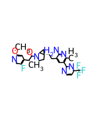 COc1cc([C@@H](C)C(=O)N2CC[C@]3(CCc4cc(-c5nccc(C(F)(F)F)n5)c(C)nc4N)CC23)c(F)cn1